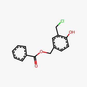 O=C(OCc1ccc(O)c(CCl)c1)c1ccccc1